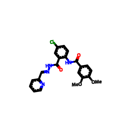 COc1ccc(C(=O)Nc2ccc(Cl)cc2C(=O)NN=Cc2ccccn2)cc1OC